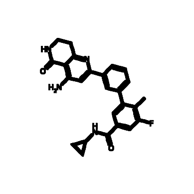 Cc1c(F)cc(C(=O)NC2CC2)cc1-c1cccc(-c2cc(N)c3c(n2)CCNC3=O)c1